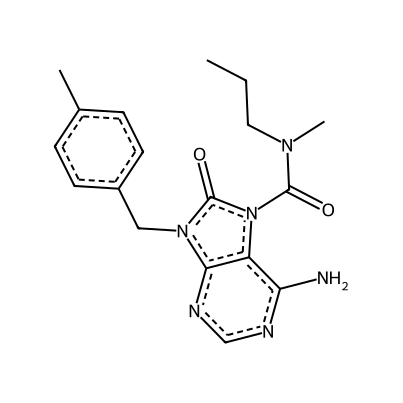 CCCN(C)C(=O)n1c(=O)n(Cc2ccc(C)cc2)c2ncnc(N)c21